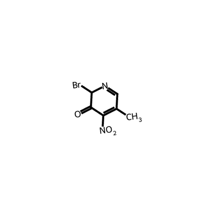 CC1=C([N+](=O)[O-])C(=O)C(Br)N=C1